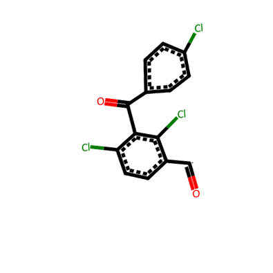 O=[C]c1ccc(Cl)c(C(=O)c2ccc(Cl)cc2)c1Cl